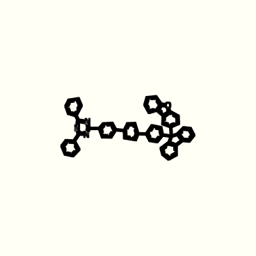 c1ccc(-c2nc(-c3ccccc3)nc(-c3ccc(-c4ccc(-c5ccc(C6(c7ccc8oc9ccccc9c8c7)c7ccccc7-c7ccccc76)cc5)cc4)cc3)n2)cc1